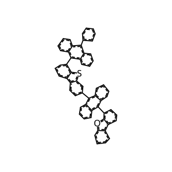 c1ccc(-c2c3ccccc3c(-c3cccc4c3sc3cc(-c5c6ccccc6c(-c6cccc7c6oc6ccccc67)c6ccccc56)ccc34)c3ccccc23)cc1